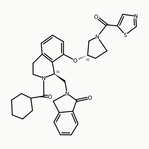 O=C(c1cncs1)N1CC[C@H](Oc2cccc3c2[C@@H](CN2Cc4ccccc4C2=O)N(C(=O)C2CCCCC2)CC3)C1